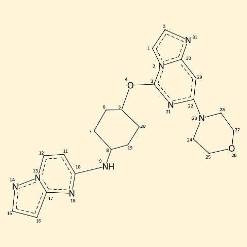 c1cn2c(OC3CCC(Nc4ccn5nccc5n4)CC3)nc(N3CCOCC3)cc2n1